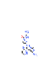 CNCCNC(=O)n1ccc(Nc2nc3cccnn3c2-c2cc(N)nc(C)n2)n1